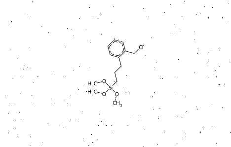 CO[Si](CCCc1ccccc1CCl)(OC)OC